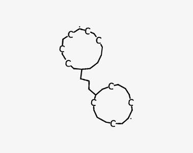 [CH]1CCCCCCCC(CCCC2CCCCCC[CH]CCCCCCC2)CCCCCC1